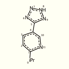 CC(C)c1ccc(-c2nn[nH]n2)cn1